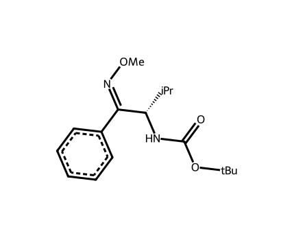 CON=C(c1ccccc1)[C@@H](NC(=O)OC(C)(C)C)C(C)C